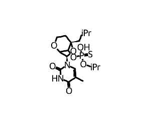 Cc1cn([C@@H]2O[C@@]3(CC(C)C)CCOC2C3OP(O)(=S)OC(C)C)c(=O)[nH]c1=O